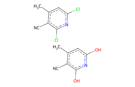 Cc1cc(Cl)nc(Cl)c1C#N.Cc1cc(O)nc(O)c1C#N